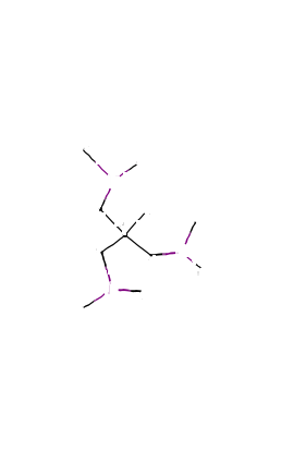 CP(C)CC(C)(CP(C)C)CP(C)C